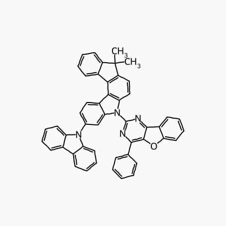 CC1(C)c2ccccc2-c2c1ccc1c2c2ccc(-n3c4ccccc4c4ccccc43)cc2n1-c1nc(-c2ccccc2)c2oc3ccccc3c2n1